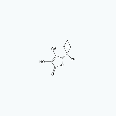 O=C1OC(C2(O)C3CC32)C(O)=C1O